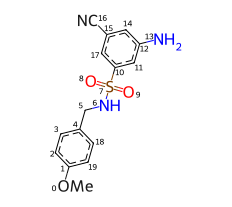 COc1ccc(CNS(=O)(=O)c2cc(N)cc(C#N)c2)cc1